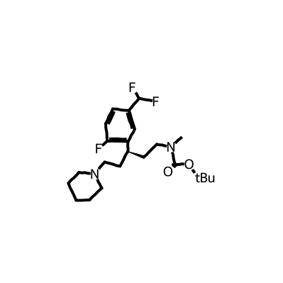 CN(CC[C@@H](CCN1CCCCC1)c1cc(C(F)F)ccc1F)C(=O)OC(C)(C)C